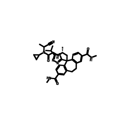 CNC(=O)c1ccc2c(c1)CCc1cc(C(=O)NC)ccc1C2(C[C@@H](C)NCC(=O)N(C(C)C#N)C1CC1)c1nnc(C(C)C)o1